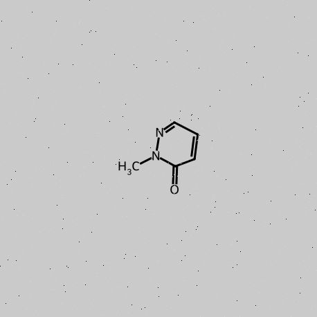 Cn1ncccc1=O